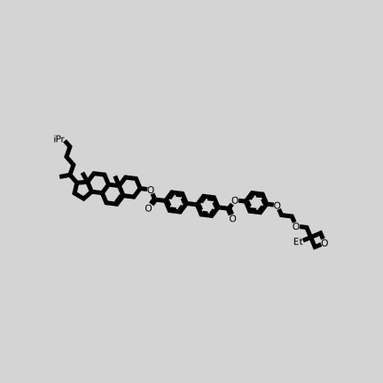 CCC1(COCCOc2ccc(OC(=O)c3ccc(-c4ccc(C(=O)OC5CCC6(C)C(=CCC7C6CCC6(C)C(C(C)CCCC(C)C)CCC76)C5)cc4)cc3)cc2)COC1